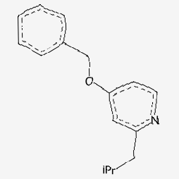 CC(C)Cc1cc(OCc2ccccc2)ccn1